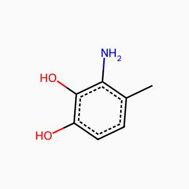 Cc1ccc(O)c(O)c1N